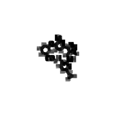 CCc1nc(-c2nnn(C)c2CNc2nccc(C3CC3)n2)ccc1O[C@H]1CCC[C@H](C(=O)O)C1